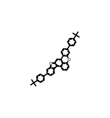 CC(C)(C)c1ccc(-c2ccc3c(c2)Oc2cccc4c2c-3cc2oc3cc(-c5ccc(C(C)(C)C)cc5)ccc3c24)cc1